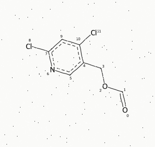 O=COCc1cnc(Cl)cc1Cl